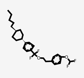 CCCCC[C@H]1CC[C@H](c2ccc(C(F)(F)OCCc3ccc(OC(F)F)cc3)cc2)CC1